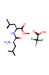 COC(=O)[C@H](CC(C)C)NC(=O)[C@@H](N)CC(C)C.O=C(O)C(F)(F)F